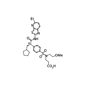 CCc1ccc2nc(NC(=O)[C@H](CC3CCCC3)c3ccc(S(=O)(=O)N(CCOC)CCC(=O)O)cc3)sc2n1